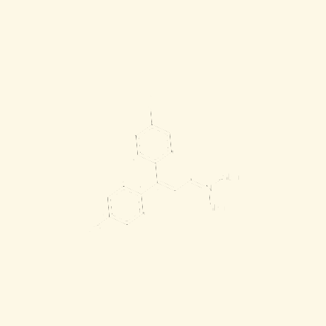 CCCC[N+](=CC=C(c1ccc(Cl)cc1)c1ccc(Cl)cc1)CCCC